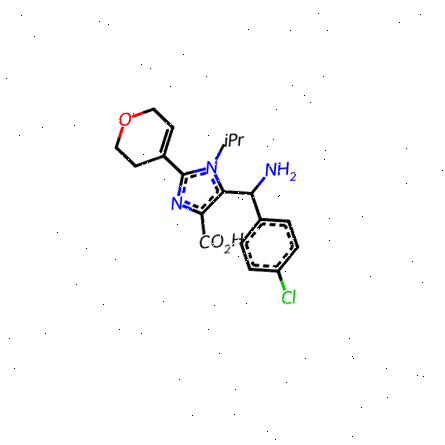 CC(C)n1c(C2=CCOCC2)nc(C(=O)O)c1C(N)c1ccc(Cl)cc1